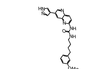 COc1cccc(CCCCNC(=O)Nc2ccc3ncc(-c4cn[nH]c4)cc3n2)c1